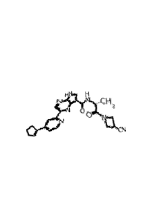 C[C@@H](NC(=O)c1c[nH]c2ncc(-c3cc(C4=CCCC4)ccn3)nc12)C(=O)N1CC(C#N)C1